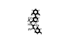 Cc1ccn([C@H](C(=O)N[C@@H](CC(=O)O)c2cncc(-c3c(C)cccc3C)c2)C(C)C)c(=O)c1